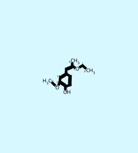 CCOC(C)=Cc1ccc(O)c(OC)c1